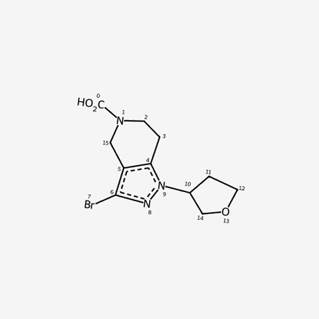 O=C(O)N1CCc2c(c(Br)nn2C2CCOC2)C1